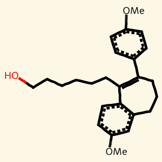 COc1ccc(C2=C(CCCCCCO)c3ccc(OC)cc3CCC2)cc1